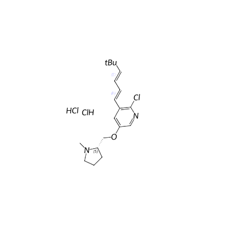 CN1CCC[C@H]1COc1cnc(Cl)c(/C=C/C=C/C(C)(C)C)c1.Cl.Cl